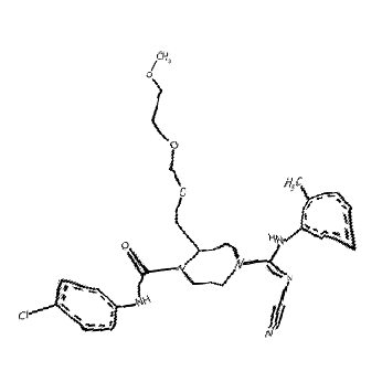 COCCOCOCC1CN(/C(=N\C#N)Nc2ccccc2C)CCN1C(=O)Nc1ccc(Cl)cc1